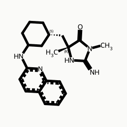 CN1C(=N)N[C@](C)(C[C@H]2CCCC(Nc3ccc4ccccc4n3)C2)C1=O